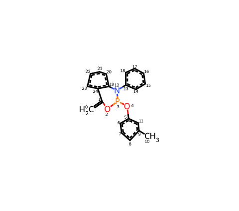 C=C1OP(Oc2cccc(C)c2)N(c2ccccc2)c2ccccc21